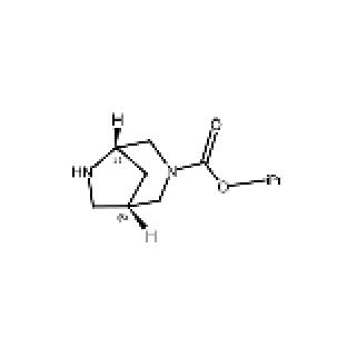 CC(C)OC(=O)N1C[C@@H]2CN[C@@H](C2)C1